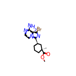 COC(=O)[C@@]1(C)CCC[C@@H](c2nc(Br)c3c(N)nccn23)C1